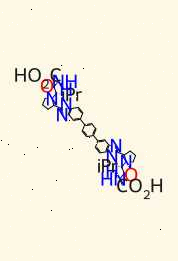 CC(C)[C@@H](C(=O)NC(=O)O)N1CCCC1c1nc2cc(-c3ccc(-c4ccc5[nH]c(C6CCCN6[C@H](C(=O)NC(=O)O)C(C)C)nc5c4)cc3)ccc2[nH]1